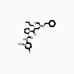 CCCC[C@H](CN(C=O)OCc1ccccc1)C(=O)N1CCC[C@H]1C(=O)Nc1ccc(F)c[n+]1O